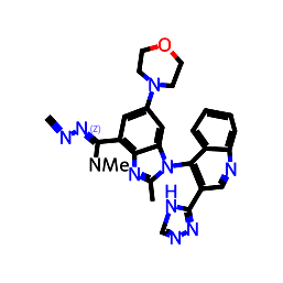 C=N/N=C(\NC)c1cc(N2CCOCC2)cc2c1nc(C)n2-c1c(-c2nnc[nH]2)cnc2ccccc12